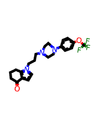 O=C1CCCc2c1ccn2CCCN1CCN(c2ccc(OC(F)(F)F)cc2)CC1